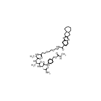 CNC(=O)OCc1ccc(NC(=O)[C@H](CC(N)=O)NC(=O)[C@H](C)NC(=O)[C@H](C)NC(=O)CCOCCOCCNC(=O)c2ccc3nc4c(nc3c2)CC2CCCCCC2C4)cc1